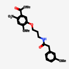 COC(=O)c1cc(OCCCNC(=O)Cc2cccc(OC)c2)c(OC)cc1[N+](=O)[O-]